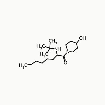 CCCCCCC(NC(C)(C)C)C(=O)N1CCC(O)CC1